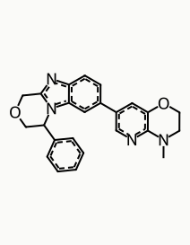 CN1CCOc2cc(-c3ccc4nc5n(c4c3)C(c3ccccc3)COC5)cnc21